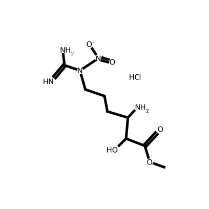 COC(=O)C(O)C(N)CCCN(C(=N)N)[N+](=O)[O-].Cl